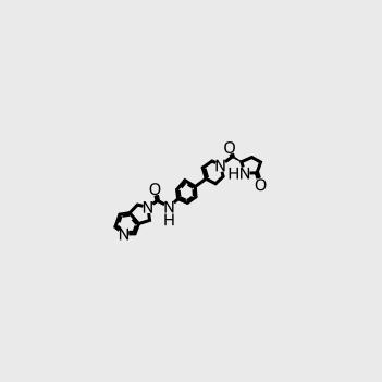 O=C1CC[C@H](C(=O)N2CC=C(c3ccc(NC(=O)N4Cc5ccncc5C4)cc3)CC2)N1